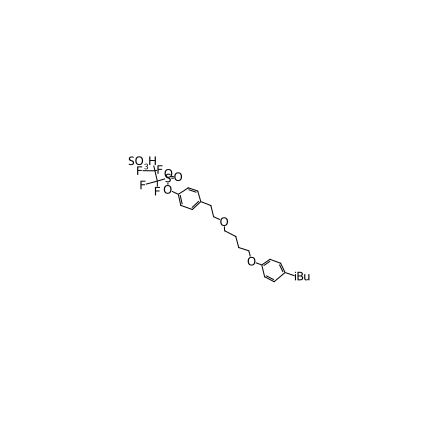 CCC(C)c1ccc(OCCCCOCCc2ccc(OS(=O)(=O)C(F)(F)C(F)(F)S(=O)(=O)O)cc2)cc1